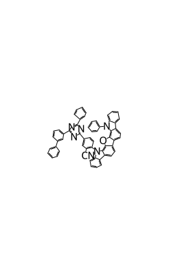 N#Cc1cc(-c2nc(-c3ccccc3)nc(-c3cccc(-c4ccccc4)c3)n2)ccc1-n1c2ccccc2c2ccc3c4ccc5c6ccccc6n(-c6ccccc6)c5c4oc3c21